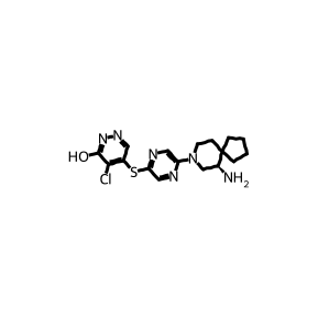 N[C@H]1CN(c2cnc(Sc3cnnc(O)c3Cl)cn2)CCC12CCCC2